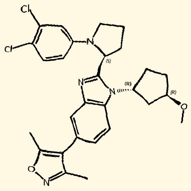 CO[C@@H]1CC[C@@H](n2c([C@@H]3CCCN3c3ccc(Cl)c(Cl)c3)nc3cc(-c4c(C)noc4C)ccc32)C1